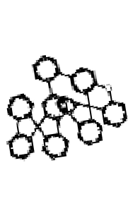 c1ccc2c(c1)Oc1ccc(-c3ccccc3-c3ccc4c(c3)C3(c5ccccc5-c5ccccc53)c3ccccc3-4)cc1C21c2ccccc2-c2ccccc21